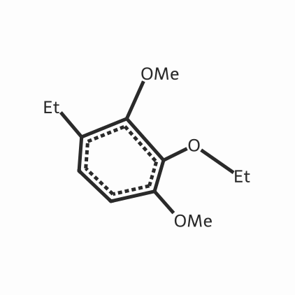 CCOc1c(OC)ccc(CC)c1OC